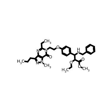 CCCc1nn(C)c2c(=O)n(CCOc3ccc(C(NCc4ccccc4)C(OCC)C(=O)OC)cc3)c(CC)nc12